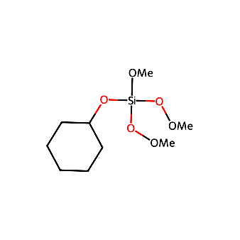 COO[Si](OC)(OOC)OC1CCCCC1